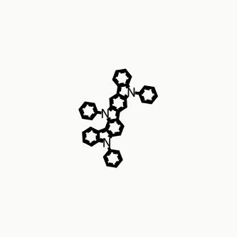 c1ccc(-n2c3ccccc3c3cc4c(cc32)c2ccc3c(c5ccccc5n3-c3ccccc3)c2n4-c2ccccc2)cc1